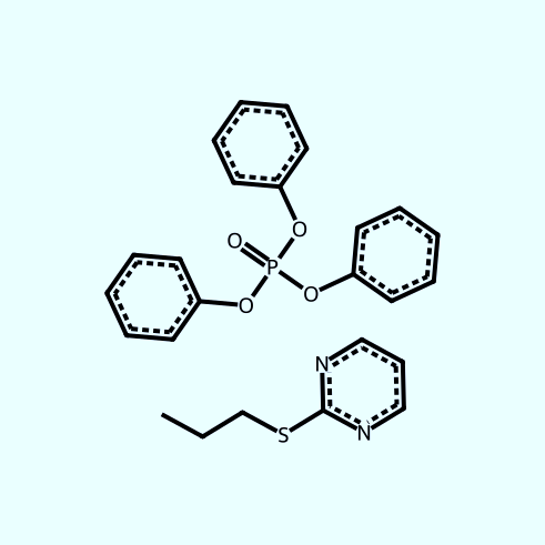 CCCSc1ncccn1.O=P(Oc1ccccc1)(Oc1ccccc1)Oc1ccccc1